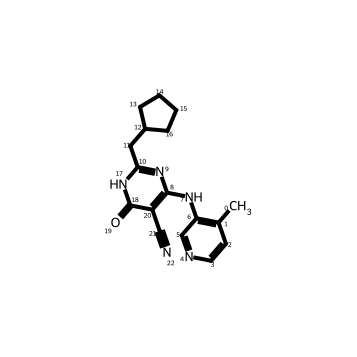 Cc1ccncc1Nc1nc(CC2CCCC2)[nH]c(=O)c1C#N